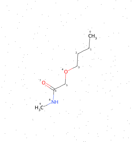 CCCCOCC(=O)NC